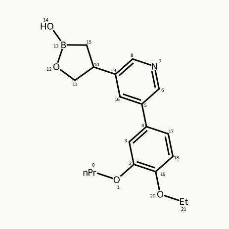 CCCOc1cc(-c2cncc(C3COB(O)C3)c2)ccc1OCC